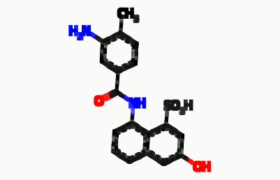 Cc1ccc(C(=O)Nc2cccc3cc(O)cc(S(=O)(=O)O)c23)cc1N